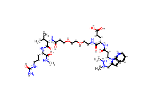 CNC(=O)[C@H](CCCNC(N)=O)NC(=O)[C@@H](NC(=O)CCOCCOCCNC(=O)[C@H](CCC(=O)O)NC(=O)CCn1c(CN(C)NC)cc2cccnc21)C(C)C